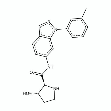 Cc1cccc(-n2ncc3ccc(NC(=O)[C@H]4NCC[C@@H]4O)cc32)c1